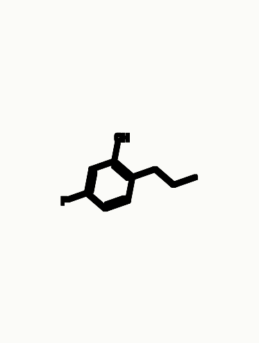 CCCc1ccc(F)cc1O